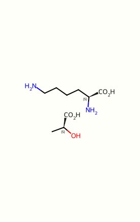 C[C@H](O)C(=O)O.NCCCC[C@H](N)C(=O)O